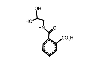 O=C(O)c1ccccc1C(=O)NCC(O)O